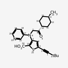 CC(C)(C)C#Cc1cc(N(CC(=O)[C@H]2CC[C@H](C)CC2)c2cccnc2)c(C(=O)O)s1